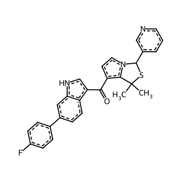 CC1(C)SC(c2cccnc2)n2ccc(C(=O)c3c[nH]c4cc(-c5ccc(F)cc5)ccc34)c21